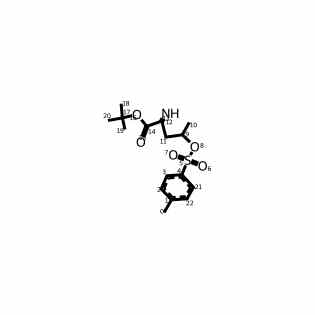 Cc1ccc(S(=O)(=O)OC(C)CC(=N)C(=O)OC(C)(C)C)cc1